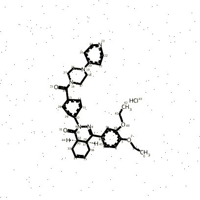 CCOc1ccc(C2=NN(c3ccc(C(=O)N4CCN(c5ccncc5)CC4)cc3)C(=O)[C@@H]3CC=CC[C@H]23)cc1OCC.Cl